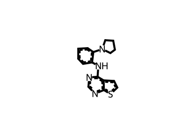 c1ccc(N2CCCC2)c(Nc2ncnc3sccc23)c1